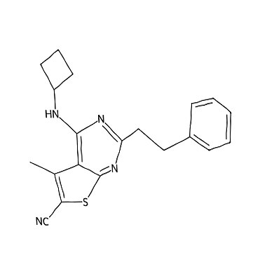 Cc1c(C#N)sc2nc(CCc3ccccc3)nc(NC3CCC3)c12